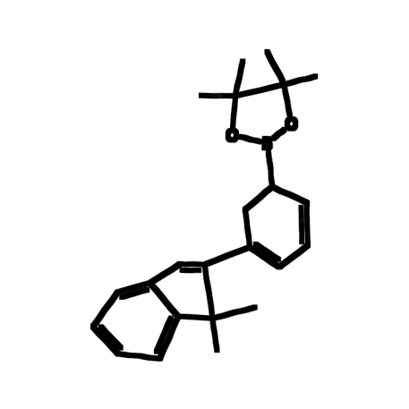 CC1(C)C(C2=CC=CC(B3OC(C)(C)C(C)(C)O3)C2)=Cc2ccccc21